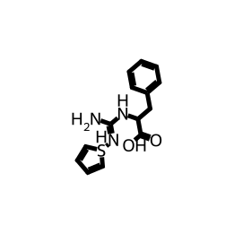 NC(=N[SH]1C=CC=C1)NC(Cc1ccccc1)C(=O)O